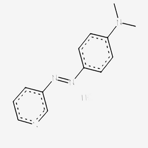 CN(C)c1ccc(N=Nc2cccnc2)cc1.Cl